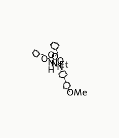 CCN(CN(NC(=O)OCc1ccccc1)C(=O)OCc1ccccc1)c1ccc(-c2ccc(OC)cc2)cc1